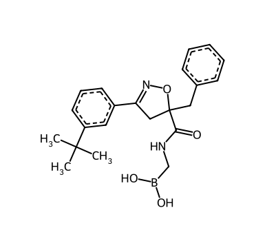 CC(C)(C)c1cccc(C2=NOC(Cc3ccccc3)(C(=O)NCB(O)O)C2)c1